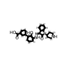 O=C(O)c1cccc(-c2cccc(NN=C3C(=O)N(C4CCNCC4)c4ccccc43)c2O)c1